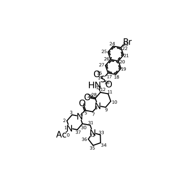 CC(=O)N1CCN(C(=O)CN2CCC[C@H](NS(=O)(=O)c3ccc4cc(Br)ccc4c3)C2=O)C(CN2CCCC2)C1